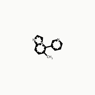 Cc1ccc2nccn2c1-c1cccnc1